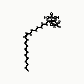 CCCCCCCCCCC/C=C\CCCCCCCCC(O)(C[N+](C)(C)C)P(=O)(O)O